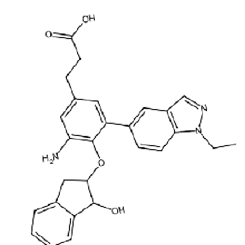 CCn1ncc2cc(-c3cc(CCC(=O)O)cc(N)c3OC3Cc4ccccc4C3O)ccc21